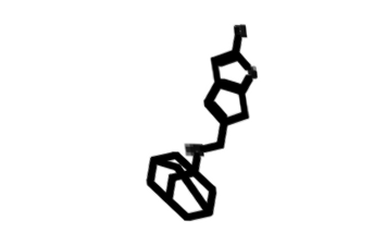 Clc1cc2c(s1)CC(CNC13CC4CC(CC(C4)C1)C3)=C2